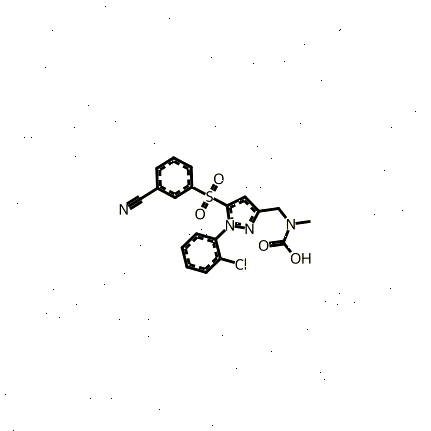 CN(Cc1cc(S(=O)(=O)c2cccc(C#N)c2)n(-c2ccccc2Cl)n1)C(=O)O